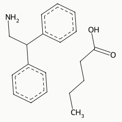 CCCCC(=O)O.NCC(c1ccccc1)c1ccccc1